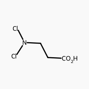 O=C(O)CCN(Cl)Cl